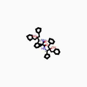 O=C(N[C@H](c1ccccc1)C(O)(Cc1ccccc1)Cc1ccccc1)C1(C(=O)N[C@H](c2ccccc2)C(O)(Cc2ccccc2)Cc2ccccc2)CC1